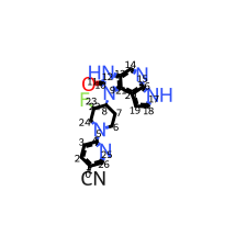 N#Cc1ccc(N2CC[C@H](n3c(=O)[nH]c4cnc5[nH]ccc5c43)[C@H](F)C2)nc1